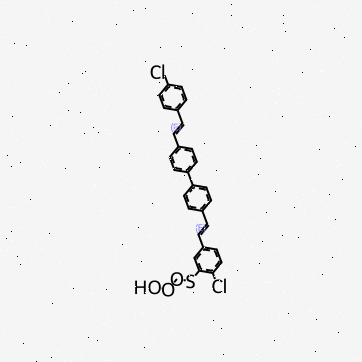 OOOSc1cc(/C=C/c2ccc(-c3ccc(/C=C/c4ccc(Cl)cc4)cc3)cc2)ccc1Cl